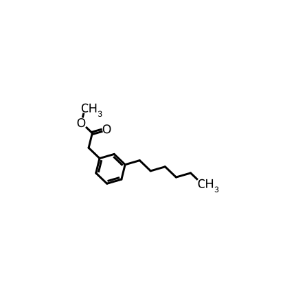 CCCCCCc1cccc(CC(=O)OC)c1